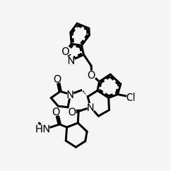 CNC(=O)C1CCCCC1C(=O)N1CCc2c(Cl)ccc(OCc3noc4ccccc34)c2[C@H]1CN1CCCC1=O